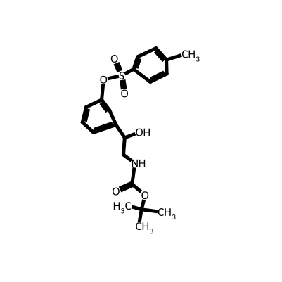 Cc1ccc(S(=O)(=O)Oc2cccc(C(O)CNC(=O)OC(C)(C)C)c2)cc1